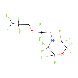 FC(F)C(F)(F)COC(F)(F)CN1C(F)(F)C(F)(F)OC(F)(F)C1(F)F